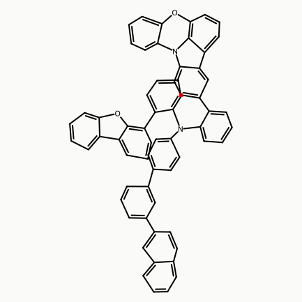 c1cc(-c2ccc(N(c3ccccc3-c3ccc4c(c3)c3cccc5c3n4-c3ccccc3O5)c3ccccc3-c3cccc4c3oc3ccccc34)cc2)cc(-c2ccc3ccccc3c2)c1